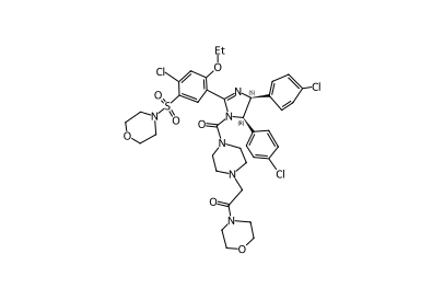 CCOc1cc(Cl)c(S(=O)(=O)N2CCOCC2)cc1C1=N[C@@H](c2ccc(Cl)cc2)[C@@H](c2ccc(Cl)cc2)N1C(=O)N1CCN(CC(=O)N2CCOCC2)CC1